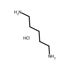 Cl.NCCCCCN